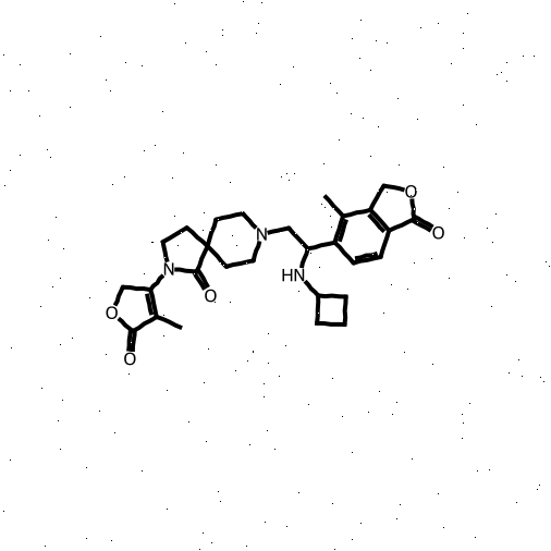 CC1=C(N2CCC3(CCN(CC(NC4CCC4)c4ccc5c(c4C)COC5=O)CC3)C2=O)COC1=O